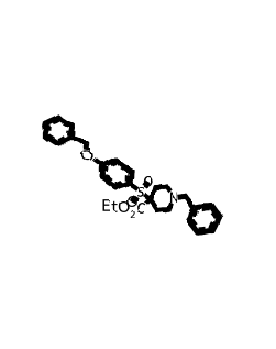 CCOC(=O)C1(S(=O)(=O)c2ccc(OCc3ccccc3)cc2)CCN(Cc2ccccc2)CC1